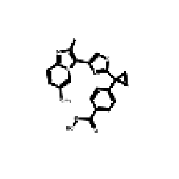 COc1ccc2nc(C)c(-c3csc(C4(c5ccc(C(=O)NO)cc5)CC4)n3)n2c1